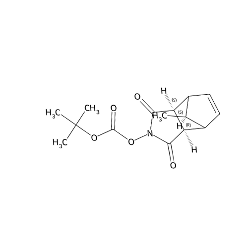 C[C@@H]1C2C=CC1[C@@H]1C(=O)N(OC(=O)OC(C)(C)C)C(=O)[C@H]21